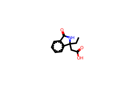 CCC1(CC(=O)O)NC(=O)c2ccccc21